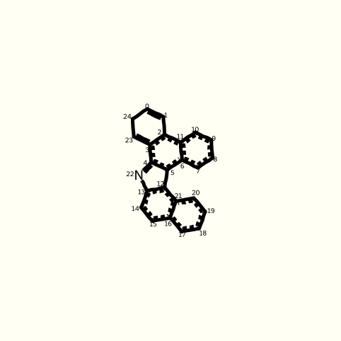 C1=Cc2c(c3c(c4ccccc24)-c2c(ccc4ccccc24)N=3)=CC1